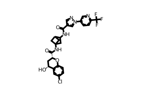 O=C(NC1CC2(NC(=O)[C@H]3C[C@@H](O)c4cc(Cl)ccc4O3)CC1C2)c1cnn(-c2ccc(C(F)(F)F)nc2)c1